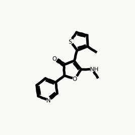 CNC1=C(c2sccc2C)C(=O)C(c2cccnc2)O1